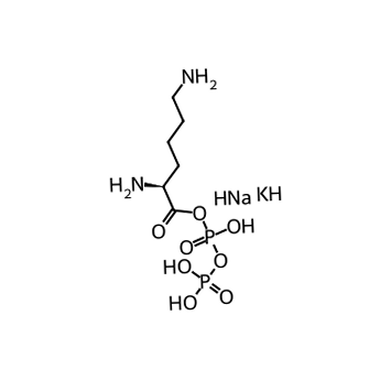 NCCCC[C@H](N)C(=O)OP(=O)(O)OP(=O)(O)O.[KH].[NaH]